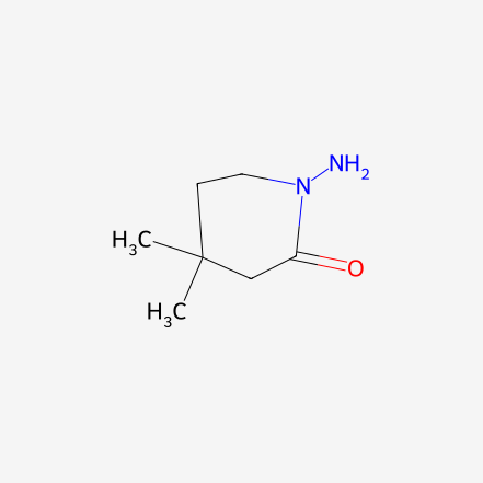 CC1(C)CCN(N)C(=O)C1